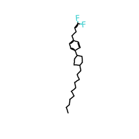 CCCCCCCCCCCC1CCC(c2ccc(CCC=C(F)F)cc2)CC1